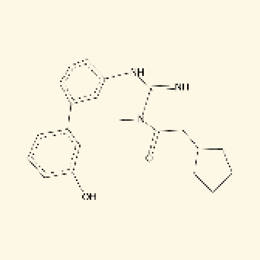 CN(C(=N)Nc1cccc(-c2cccc(O)c2)c1)C(=O)CC1CCCC1